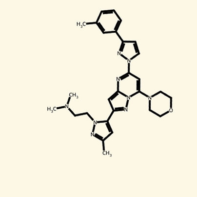 Cc1cccc(-c2ccn(-c3cc(N4CCOCC4)n4nc(-c5cc(C)nn5CCN(C)C)cc4n3)n2)c1